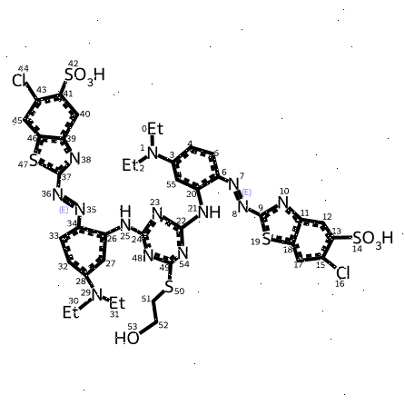 CCN(CC)c1ccc(/N=N/c2nc3cc(S(=O)(=O)O)c(Cl)cc3s2)c(Nc2nc(Nc3cc(N(CC)CC)ccc3/N=N/c3nc4cc(S(=O)(=O)O)c(Cl)cc4s3)nc(SCCO)n2)c1